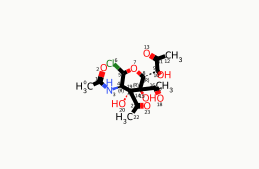 CC(=O)N[C@H]1C(Cl)O[C@H](C(O)C(C)=O)[C@](O)(C(C)=O)[C@@]1(O)C(C)=O